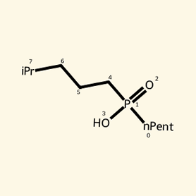 CCCCCP(=O)(O)CCCC(C)C